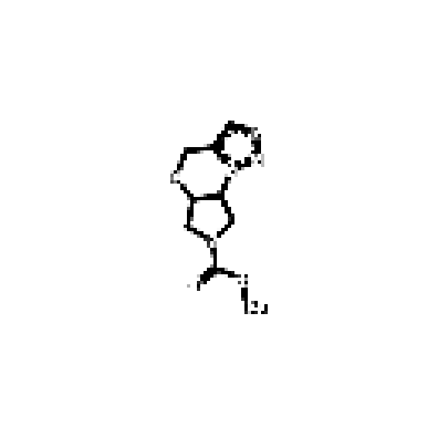 CC(C)(C)OC(=O)N1CC2OCc3cnnn3C2C1